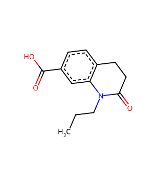 CCCN1C(=O)CCc2ccc(C(=O)O)cc21